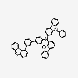 c1ccc(-n2c3ccccc3c3ccc(N(c4ccc(-c5cccc(-c6cccc7sc8ccccc8c67)c5)cc4)c4cccc5c4oc4ccccc45)cc32)cc1